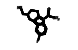 NC(=O)n1c2c(c3cc(F)ccc31)C[C](CO)CC2